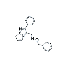 C1=Cn2c(nc(-c3ccccc3)c2/C=N/OCc2ccccc2)C1